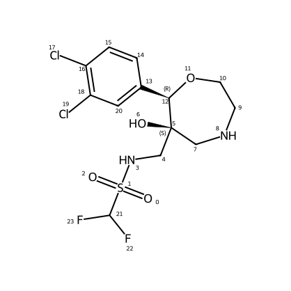 O=S(=O)(NC[C@@]1(O)CNCCO[C@@H]1c1ccc(Cl)c(Cl)c1)C(F)F